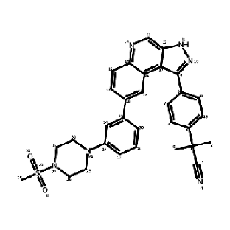 CC(C)(C#N)c1ccc(-c2n[nH]c3cnc4ccc(-c5cccc(N6CCN(S(C)(=O)=O)CC6)c5)cc4c23)cc1